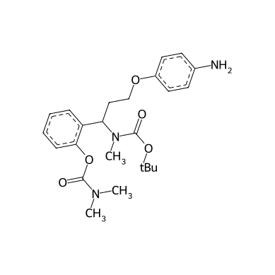 CN(C)C(=O)Oc1ccccc1C(CCOc1ccc(N)cc1)N(C)C(=O)OC(C)(C)C